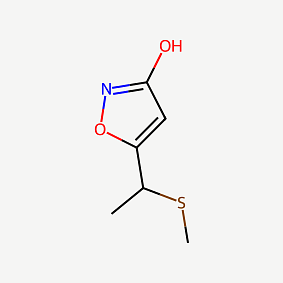 CSC(C)c1cc(O)no1